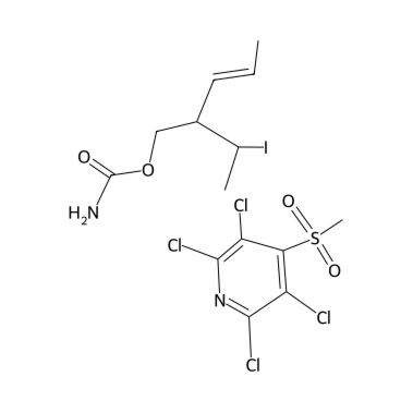 CC=CC(COC(N)=O)C(C)I.CS(=O)(=O)c1c(Cl)c(Cl)nc(Cl)c1Cl